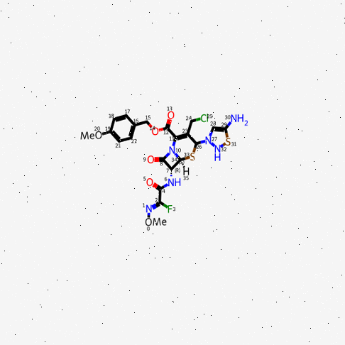 CON=C(F)C(=O)N[C@@H]1C(=O)N2C(C(=O)OCc3ccc(OC)cc3)=C(CCl)C(N3C=C(N)SN3)S[C@@H]12